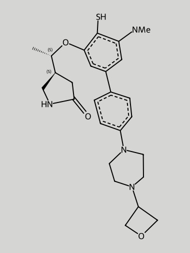 CNc1cc(-c2ccc(N3CCN(C4COC4)CC3)cc2)cc(O[C@@H](C)[C@@H]2CNC(=O)C2)c1S